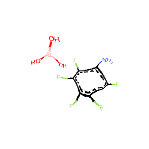 Nc1c(F)c(F)c(F)c(F)c1F.OB(O)O